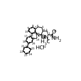 CN[C@@H](CC1CCc2ccccc2N(Cc2cccc(-c3ccccc3)c2)C1=O)C(N)=O.Cl